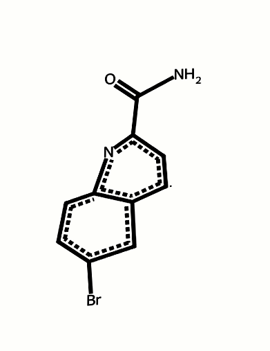 NC(=O)c1c[c]c2cc(Br)ccc2n1